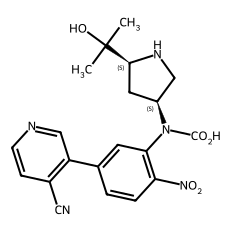 CC(C)(O)[C@@H]1C[C@H](N(C(=O)O)c2cc(-c3cnccc3C#N)ccc2[N+](=O)[O-])CN1